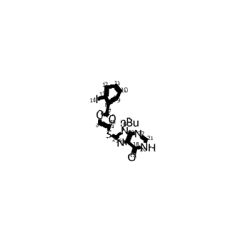 CCCCn1c(SC2=COC(c3ccccc3I)O2)nc2c(=O)[nH]cnc21